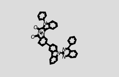 O=c1c2ccc(-c3ccc4c(c3)c3ccccc3n4-c3nc(-c4ccccc4)c4ccccc4n3)cc2n2c3c4ccccc4n(-c4ccccc4)c3c(=O)n12